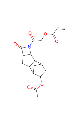 C=CC(=O)OCC(=O)N1C(=O)C2CC3C4CC(CC4OC(C)=O)C3C21